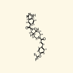 O=C(/C=C/c1ccc(OC(F)F)cc1)N1CC[C@@H]2CN(C(=O)c3ccc4[nH]nnc4c3)C[C@@H]2CC1